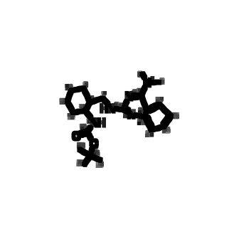 CN(C)c1nc(NCC2CCCCC2NC(=O)OC(C)(C)C)nc2ccccc12